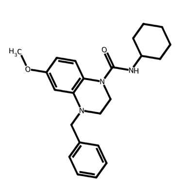 COc1ccc2c(c1)N(Cc1ccccc1)CCN2C(=O)NC1CCCCC1